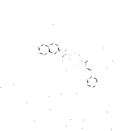 Cl.O=C(/C=C/c1cccnc1)N1CCN(S(=O)(=O)c2ccc3cc(Cl)ccc3c2)CC1